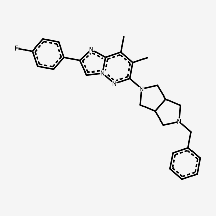 Cc1c(N2CC3CN(Cc4ccccc4)CC3C2)nn2cc(-c3ccc(F)cc3)nc2c1C